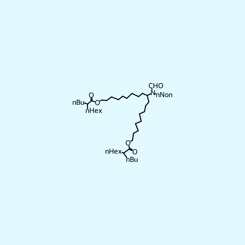 CCCCCCCCCN(C=O)C(CCCCCCCCCOC(=O)C(CCCC)CCCCCC)CCCCCCCCCOC(=O)C(CCCC)CCCCCC